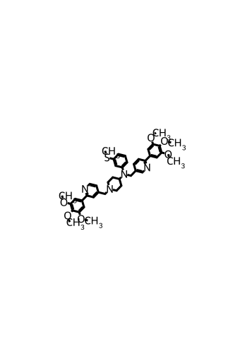 COc1cc(-c2ccc(CN(c3cccc(SC)c3)C3CCN(Cc4ccnc(-c5cc(OC)c(OC)c(OC)c5)c4)CC3)cn2)cc(OC)c1OC